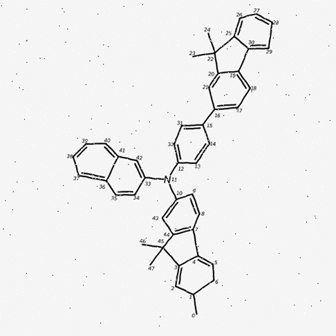 CC1C=C2C(=CC1)c1ccc(N(c3ccc(-c4ccc5c(c4)C(C)(C)c4ccccc4-5)cc3)c3ccc4ccccc4c3)cc1C2(C)C